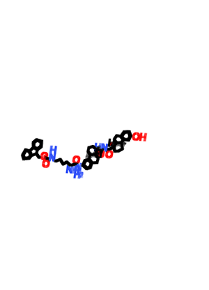 C[C@]1(C(=O)NC(=O)[C@@]2(C)CCC[C@]3(C)c4cc(NC(=O)C(N)CCCCNC(=O)OCC5c6ccccc6-c6ccccc65)ccc4CC[C@@H]23)CCC[C@]2(C)c3cc(O)ccc3CC[C@@H]12